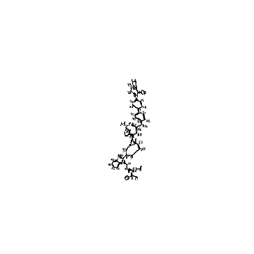 CC(=O)NCCn1c(C2CCCN(C(=O)CC(N)Cc3ccc(-c4ccc(N5CCNC5=O)cc4)cc3)C2)nc2ccccc21